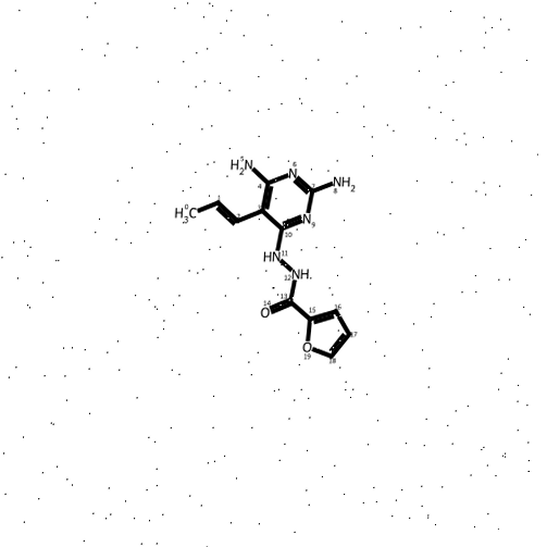 CC=Cc1c(N)nc(N)nc1NNC(=O)c1ccco1